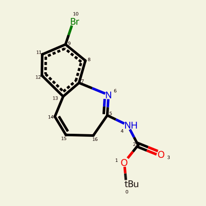 CC(C)(C)OC(=O)NC1=Nc2cc(Br)ccc2C=CC1